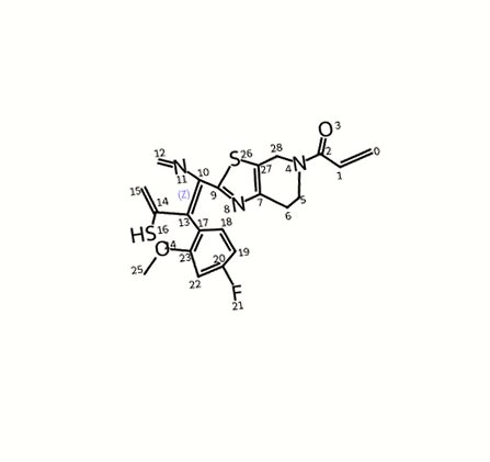 C=CC(=O)N1CCc2nc(/C(N=C)=C(/C(=C)S)c3ccc(F)cc3OC)sc2C1